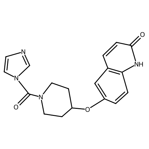 O=C(N1CCC(Oc2ccc3[nH]c(=O)ccc3c2)CC1)n1ccnc1